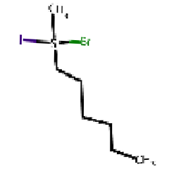 CCCCCC[Si](C)(Br)I